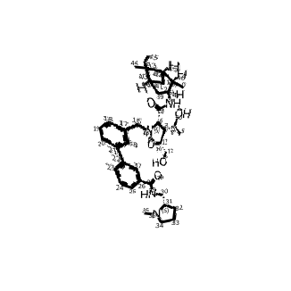 C[C@@H]1[C@@H](NC(=O)[C@@H]2[C@H]([C@H](C)O)[C@H](CO)ON2Cc2cccc(-c3cccc(C(=O)NC[C@@H]4CCCN4C)c3)c2)C[C@H]2C[C@@H]1C2(C)C